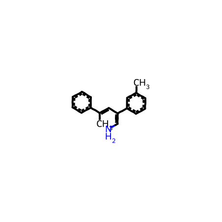 C/C(=C\C(=C/N)c1cccc(C)c1)c1ccccc1